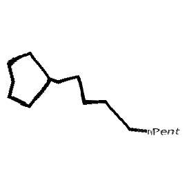 CCCCCCCCCC1CCCC1